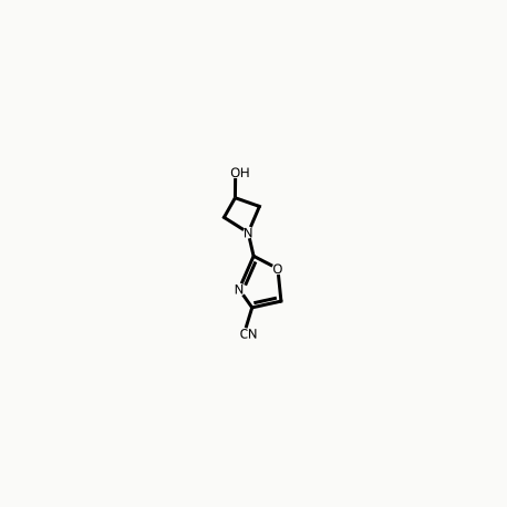 N#Cc1coc(N2CC(O)C2)n1